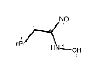 CCCCC(N=O)NO